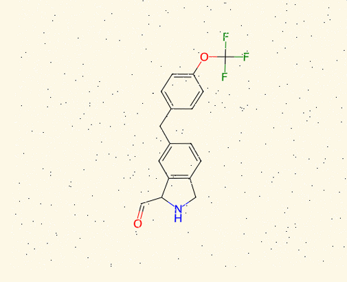 O=CC1NCc2ccc(Cc3ccc(OC(F)(F)F)cc3)cc21